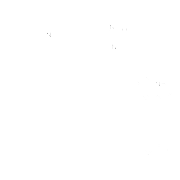 COC(=O)c1ccc(S(=O)(=O)NC(=O)c2cccc(-c3nc(-c4ccc(-c5csc(-c6ccccc6)n5)cc4)no3)c2)cc1